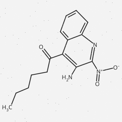 CCCCCC(=O)c1c(N)c([N+](=O)[O-])nc2ccccc12